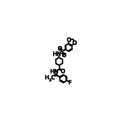 C[C@@H](NC(=O)C1CCC(NS(=O)(=O)c2ccc3c(c2)OCO3)CC1)c1ccc(F)cc1